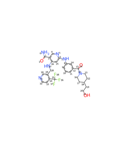 NC(=O)c1cnc(Nc2cccc(C(=O)N3CCC(CCO)CC3)c2)cc1NCc1cnccc1C(F)(F)F